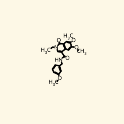 CCn1cc(C(=O)NCc2cccc(OC)c2)c2cc(OC)c(OC)cc2c1=O